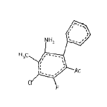 CC(=O)c1c(F)c(Cl)c(C)c(N)c1-c1ccccc1